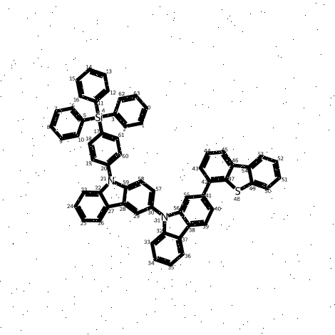 c1ccc([Si](c2ccccc2)(c2ccccc2)c2ccc(-n3c4ccccc4c4cc(-n5c6ccccc6c6ccc(-c7cccc8c7sc7ccccc78)cc65)ccc43)cc2)cc1